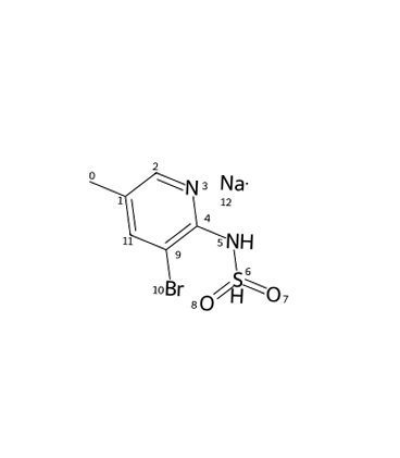 Cc1cnc(N[SH](=O)=O)c(Br)c1.[Na]